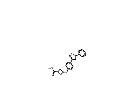 COC(=O)C1CN(Cc2ccc(C3=NOC(c4ccccc4)C3)cc2)C1